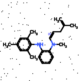 C=C(C)C/C=C\N(C)c1ccccc1Nc1c(C)cc(C)cc1C